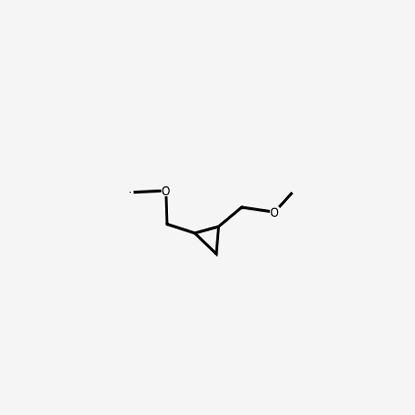 [CH2]OCC1CC1COC